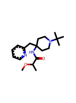 COC(C)C(=O)NC1(Cc2ccccn2)CCN(C(C)(C)C)CC1